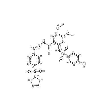 COc1cc(NS(=O)(=O)c2ccc(Cl)cc2)c(C(=O)N=[N+]=Nc2ccc(S(=O)(=O)N3CC=CC3)cc2)cc1OC